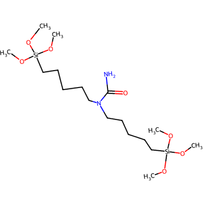 CO[Si](CCCCCN(CCCCC[Si](OC)(OC)OC)C(N)=O)(OC)OC